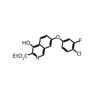 CCOC(=O)c1ncc2cc(Oc3ccc(Cl)c(F)c3)ccc2c1O